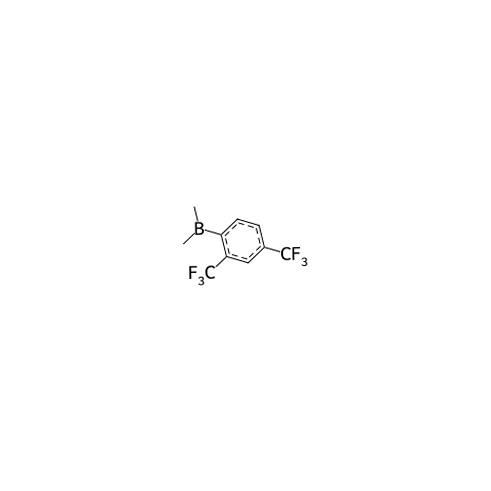 CB(C)c1ccc(C(F)(F)F)cc1C(F)(F)F